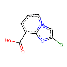 O=C(O)c1cccn2cc(Cl)nc12